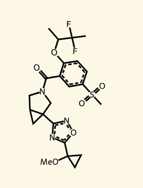 COC1(c2nc(C34CC3CN(C(=O)c3cc(S(C)(=O)=O)ccc3OC(C)C(C)(F)F)C4)no2)CC1